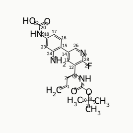 C=CC[C@H](NC(=O)OC(C)(C)C)c1cc(-c2ccc(NC(=O)O)cc2N)cnc1F